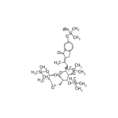 C/C(C[C@@H]1OC[C@H](C[C@@H]2O[C@H]2[C@H](C)[C@H](C)O[Si](C)(C)C)[C@@H](O[Si](C)(C)C)[C@@H]1O[Si](C)(C)C)=C1/Cc2ccc(O[Si](C)(C)C(C)(C)C)cc2C1=O